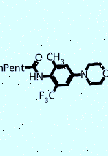 CCCCCC(=O)Nc1c(C)cc(N2CCOCC2)cc1C(F)(F)F